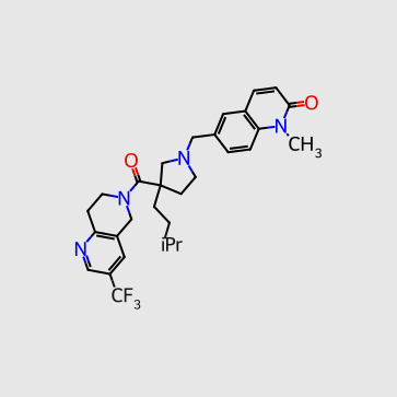 CC(C)CCC1(C(=O)N2CCc3ncc(C(F)(F)F)cc3C2)CCN(Cc2ccc3c(ccc(=O)n3C)c2)C1